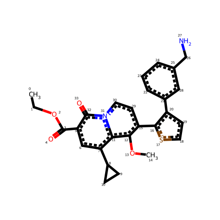 CCOC(=O)c1cc(C2CC2)c2c(OC)c(-c3sccc3-c3cccc(CN)c3)ccn2c1=O